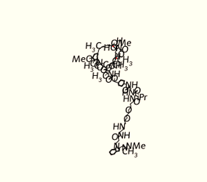 CNN(C)Cc1cc2ccccc2n1CCC(=O)NCCNCCOCCOCCC(=O)NC(C(=O)NCC(=O)Nc1ccc(COC(=O)N[C@@H](C)C(=O)O[C@H]2CC(=O)N(C)c3cc(cc(OC)c3Cl)C/C(C)=C/C=C/[C@@H](OC)[C@@]3(O)C[C@H](OC(=O)N3)[C@@H](C)CC2(C)O)cc1)C(C)C